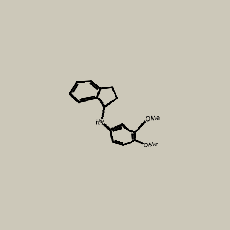 COc1ccc(NC2CCc3ccccc32)cc1OC